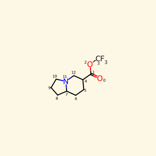 O=C(OC(F)(F)F)C1CCC2CCCN2C1